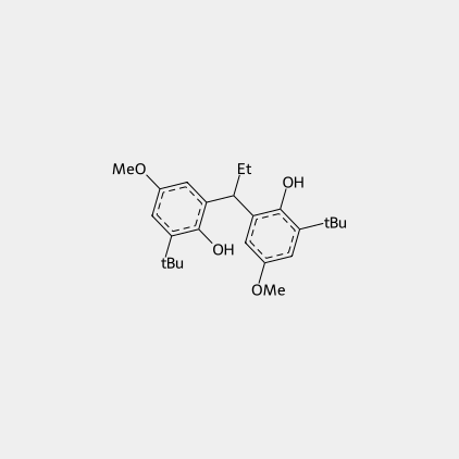 CCC(c1cc(OC)cc(C(C)(C)C)c1O)c1cc(OC)cc(C(C)(C)C)c1O